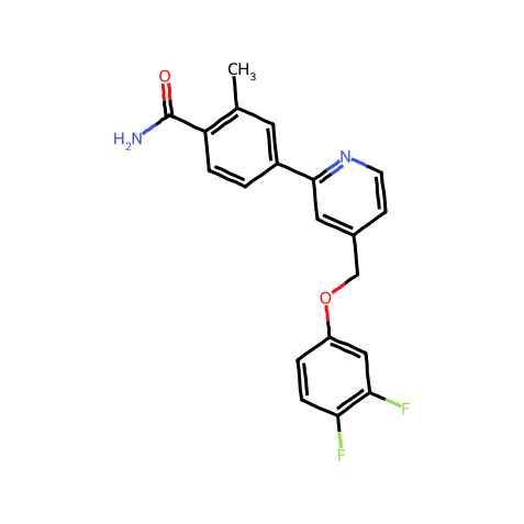 Cc1cc(-c2cc(COc3ccc(F)c(F)c3)ccn2)ccc1C(N)=O